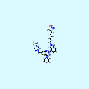 CS(=O)(=O)N1CCN(Cc2cc3nc(-c4cccc5nn(CCCCCCC(=O)NO)cc45)nc(N4CCOCC4)c3s2)CC1